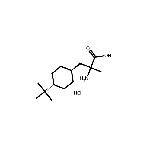 CC(N)(C[C@H]1CC[C@H](C(C)(C)C)CC1)C(=O)O.Cl